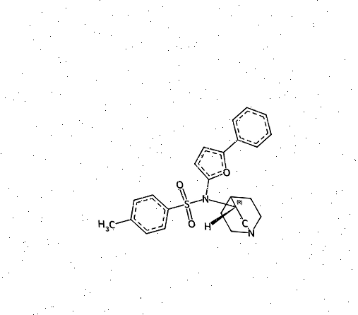 Cc1ccc(S(=O)(=O)N(c2ccc(-c3ccccc3)o2)[C@H]2CN3CCC2CC3)cc1